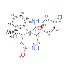 COC1CC(=O)NCC(c2ccc(Cl)cc2)C12C(=O)Nc1cccc(Cl)c12